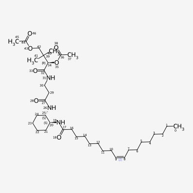 CCCCCCCC/C=C\CCCCCCCC(=O)N[C@H]1CCCC[C@@H]1NC(=O)CCNC(=O)[C@H](OC(C)=O)C(C)(C)COC(C)=O